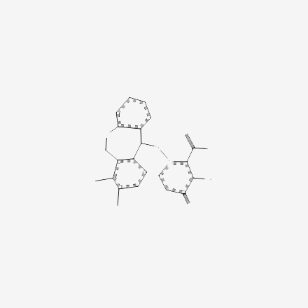 O=C(O)c1c(O)c(=O)ccn1NC1c2ccccc2SCc2c1ccc(F)c2F